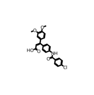 COc1ccc(C(=CC(=O)O)c2ccc(NC(=O)c3ccc(Cl)cc3)cc2)cc1OC